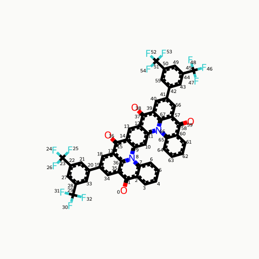 O=c1c2ccccc2n2c3cc4c(cc3c(=O)c3cc(-c5cc(C(F)(F)F)cc(C(F)(F)F)c5)cc1c32)c(=O)c1cc(-c2cc(C(F)(F)F)cc(C(F)(F)F)c2)cc2c(=O)c3ccccc3n4c21